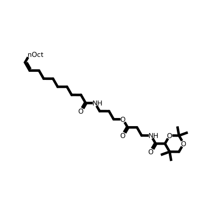 CCCCCCCC/C=C\CCCCCCCC(=O)NCCCOC(=O)CCNC(=O)C1OC(C)(C)OCC1(C)C